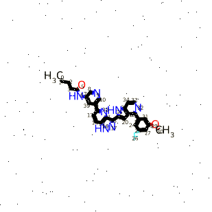 CCCCC(=O)Nc1cncc(-c2ccc3[nH]nc(-c4cc5c(-c6cc(F)cc(OC)c6)nccc5[nH]4)c3n2)c1